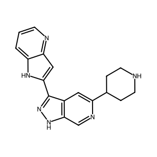 c1cnc2cc(-c3n[nH]c4cnc(C5CCNCC5)cc34)[nH]c2c1